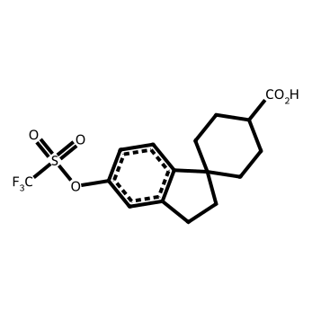 O=C(O)C1CCC2(CCc3cc(OS(=O)(=O)C(F)(F)F)ccc32)CC1